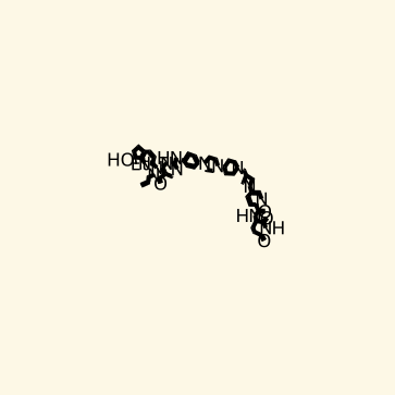 C=CCn1c(=O)c2cnc(Nc3ccc(N4CCN(C5CCN(CC6CN(c7ccc(C(=O)NC8CCC(=O)NC8=O)nc7)C6)CC5)CC4)cc3)nc2n1-c1ccc2c(n1)[C@@](O)(CC)CC2